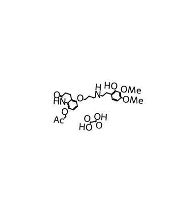 COc1ccc(CCNCCCOc2ccc(OCC(C)=O)c3c2CCC(=O)N3)c(O)c1OC.O=C(O)C(=O)O